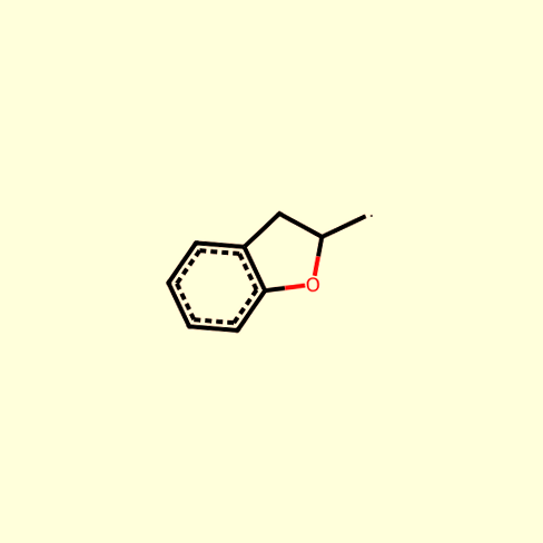 [CH2]C1Cc2ccccc2O1